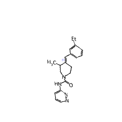 CCc1cccc(/C=C2\CCN(C(=O)Nc3cccnn3)CC2C)c1